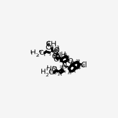 C=CCC[C@@H](COC)S(=O)(=O)NC(=O)c1ccc2c(c1)N(C[C@@H]1CC[C@H]1[C@@H](O)C=C)C[C@@]1(CCCc3cc(Cl)ccc31)CO2